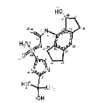 CC(C)(O)c1ncc([S@](N)(=O)=NC(=O)Nc2c3c(cc4c2[C@H](O)CC4)CCC3)s1